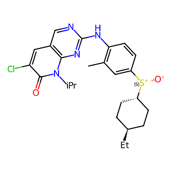 CC[C@H]1CC[C@H]([S@@+]([O-])c2ccc(Nc3ncc4cc(Cl)c(=O)n(C(C)C)c4n3)c(C)c2)CC1